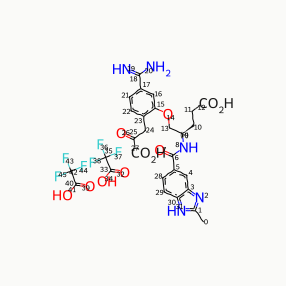 Cc1nc2cc(C(=O)N[C@H](CCC(=O)O)COc3cc(C(=N)N)ccc3CC(=O)C(=O)O)ccc2[nH]1.O=C(O)C(F)(F)F.O=C(O)C(F)(F)F